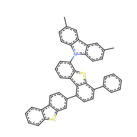 Cc1ccc2c(c1)c1cc(C)ccc1n2-c1cccc2c1sc1c(-c3ccccc3)ccc(-c3ccc4c(c3)sc3ccccc34)c12